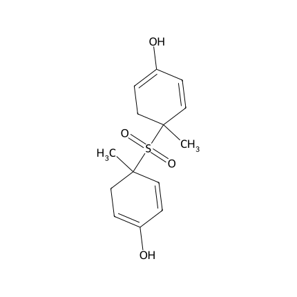 CC1(S(=O)(=O)C2(C)C=CC(O)=CC2)C=CC(O)=CC1